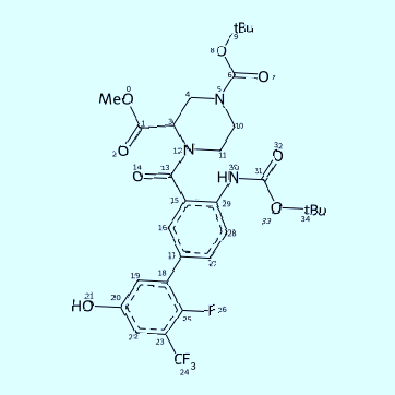 COC(=O)C1CN(C(=O)OC(C)(C)C)CCN1C(=O)c1cc(-c2cc(O)cc(C(F)(F)F)c2F)ccc1NC(=O)OC(C)(C)C